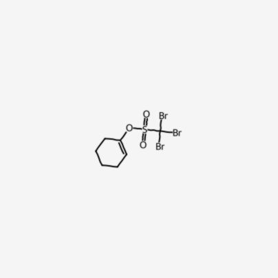 O=S(=O)(OC1=CCCCC1)C(Br)(Br)Br